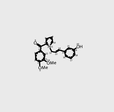 COc1ccc(C(=O)c2cccn2C/C=C/c2cccc(O)c2)cc1OC